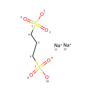 O=S(=O)([O-])CCCS(=O)(=O)[O-].[Na+].[Na+]